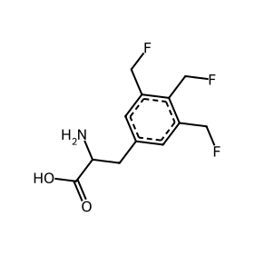 NC(Cc1cc(CF)c(CF)c(CF)c1)C(=O)O